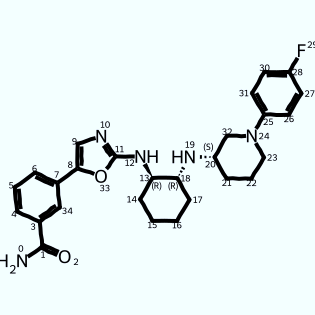 NC(=O)c1cccc(-c2cnc(N[C@@H]3CCCC[C@H]3N[C@H]3CCCN(c4ccc(F)cc4)C3)o2)c1